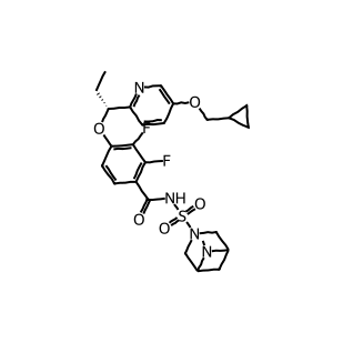 CC[C@@H](Oc1ccc(C(=O)NS(=O)(=O)N2CC3CC(C2)N3C)c(F)c1F)c1ccc(OCC2CC2)cn1